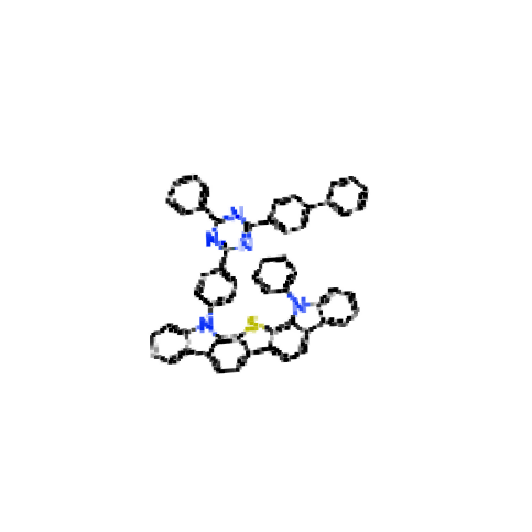 c1ccc(-c2ccc(-c3nc(-c4ccccc4)nc(-c4ccc(-n5c6ccccc6c6ccc7c8ccc9c%10ccccc%10n(-c%10ccccc%10)c9c8sc7c65)cc4)n3)cc2)cc1